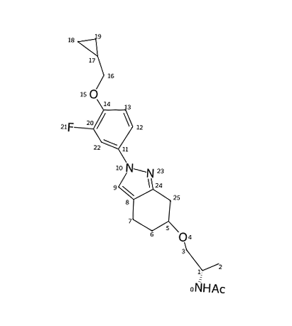 CC(=O)N[C@@H](C)COC1CCc2cn(-c3ccc(OCC4CC4)c(F)c3)nc2C1